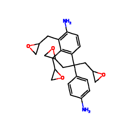 Nc1ccc(C(CC2CO2)(CC2CO2)c2ccc(N)c(CC3CO3)c2CC2CO2)cc1